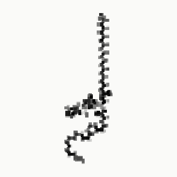 CC/C=C\C/C=C\C/C=C\C/C=C\C/C=C\C/C=C\CCC(=O)O[C@H](COC(=O)CCCCCCCCCCCCCCCCCCC)COP(=O)(O)OCC[N+](C)(C)C